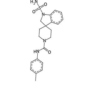 Cc1ccc(NC(=O)N2CCC3(CC2)CN(S(N)(=O)=O)c2ccccc23)cc1